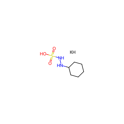 O=S(=O)(O)NNC1CCCCC1.[KH]